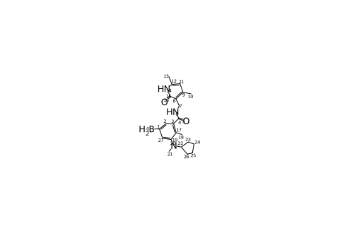 Bc1cc(C(=O)NCc2c(C)cc(C)[nH]c2=O)c(C)c(N(C)C2CCCC2)c1